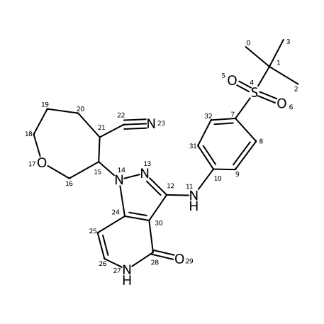 CC(C)(C)S(=O)(=O)c1ccc(Nc2nn(C3COCCCC3C#N)c3cc[nH]c(=O)c23)cc1